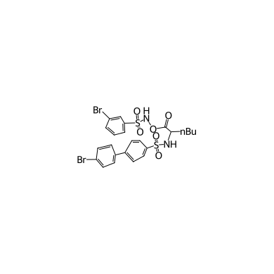 CCCCC(NS(=O)(=O)c1ccc(-c2ccc(Br)cc2)cc1)C(=O)ONS(=O)(=O)c1cccc(Br)c1